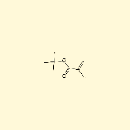 [CH2]C(=C)C(=O)OC(C)(C)C